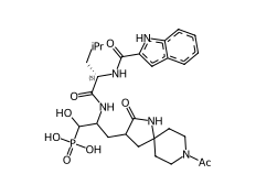 CC(=O)N1CCC2(CC1)CC(CC(NC(=O)[C@H](CC(C)C)NC(=O)c1cc3ccccc3[nH]1)C(O)P(=O)(O)O)C(=O)N2